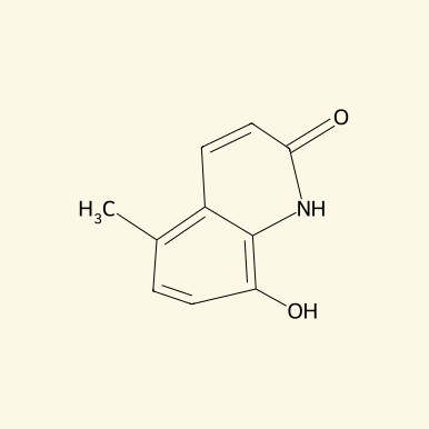 Cc1ccc(O)c2[nH]c(=O)ccc12